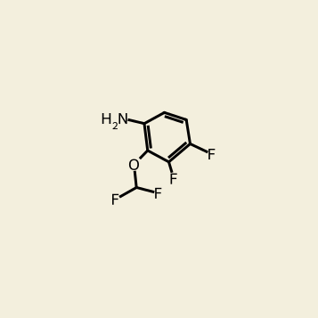 Nc1ccc(F)c(F)c1OC(F)F